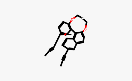 CC#Cc1ccc2c3c(ccc2c1)OCCCOc1ccc2cc(C#CC)ccc2c1-3